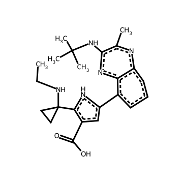 CCNC1(c2[nH]c(-c3cccc4nc(C)c(NC(C)(C)C)nc34)cc2C(=O)O)CC1